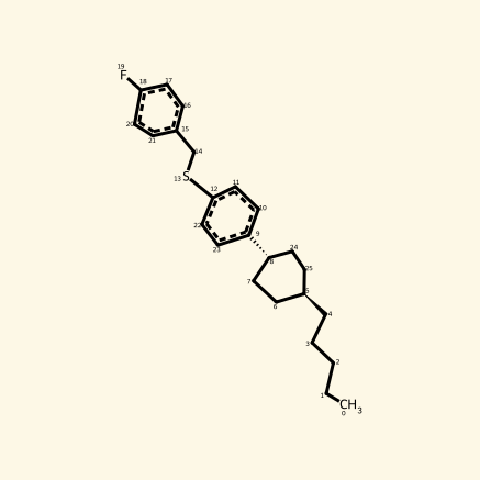 CCCCC[C@H]1CC[C@H](c2ccc(SCc3ccc(F)cc3)cc2)CC1